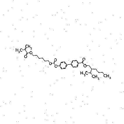 C=C(C)C(=O)OCCCCCCOC(=O)Oc1ccc(-c2ccc(C(=O)OCC(CCCC)C(C)C)cc2)cc1